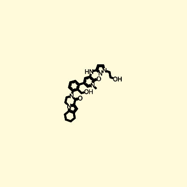 Cn1cc(-c2cccc(N3CCn4c(cc5c4CCCC5)C3=O)c2CO)cc(Nc2ccn(CCO)n2)c1=O